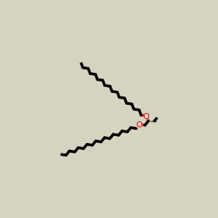 C[CH][C@H](COCCCCCCCCCCCCCCCCCC)OCCCCCCCCCCCCCCCCCC